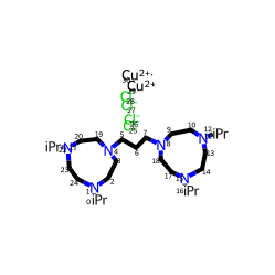 CC(C)N1CCN(CCCN2CCN(C(C)C)CCN(C(C)C)CC2)CCN(C(C)C)CC1.[Cl-].[Cl-].[Cl-].[Cl-].[Cu+2].[Cu+2]